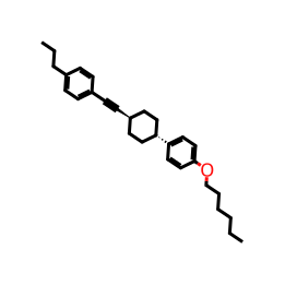 CCCCCCOc1ccc([C@H]2CC[C@H](C#Cc3ccc(CCC)cc3)CC2)cc1